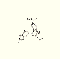 C[C@H](O)c1cc2c(-c3cnc4nn(C)cc4c3)cc(C3CC3)nc2s1